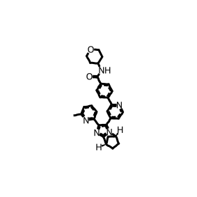 Cc1cccc(-c2nc3n(c2-c2ccnc(-c4ccc(C(=O)NC5CCOCC5)cc4)c2)[C@@H]2CC[C@H]3C2)n1